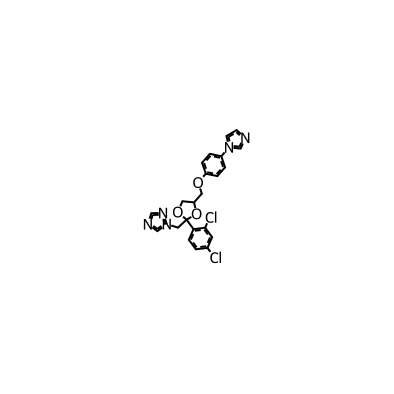 Clc1ccc(C2(Cn3cncn3)OCC(COc3ccc(-n4ccnc4)cc3)O2)c(Cl)c1